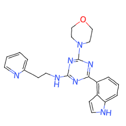 c1ccc(CCNc2nc(-c3cccc4[nH]ccc34)nc(N3CCOCC3)n2)nc1